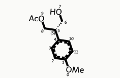 COc1ccc([C@@H](CO)COC(C)=O)cc1